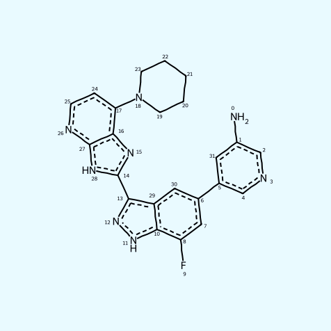 Nc1cncc(-c2cc(F)c3[nH]nc(-c4nc5c(N6CCCCC6)ccnc5[nH]4)c3c2)c1